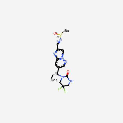 COC[C@H](c1cnn2cc(/C=N/[S@@+]([O-])C(C)(C)C)nc2c1)N1CC(F)(F)CNC1=O